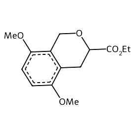 CCOC(=O)C1Cc2c(OC)ccc(OC)c2CO1